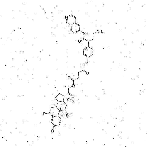 C[C@]12C[C@H](O)[C@@]3(F)[C@@H](C[C@H](F)C4=CC(=O)C=C[C@@]43C)C1CC[C@@H]2C(=O)COC(=O)CCC(=O)OCc1ccc(C(CCN)C(=O)Nc2ccc3cnccc3c2)cc1